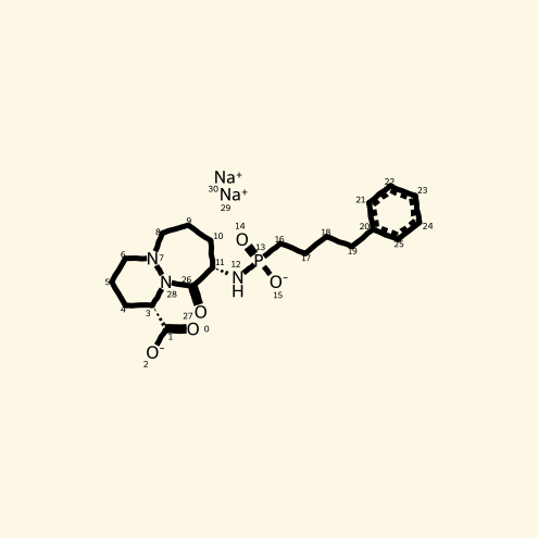 O=C([O-])[C@@H]1CCCN2CCC[C@H](NP(=O)([O-])CCCCc3ccccc3)C(=O)N12.[Na+].[Na+]